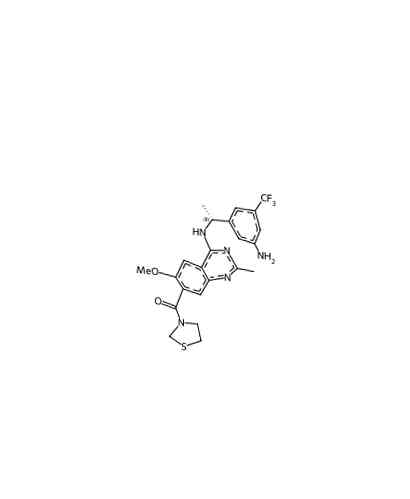 COc1cc2c(N[C@H](C)c3cc(N)cc(C(F)(F)F)c3)nc(C)nc2cc1C(=O)N1CCSC1